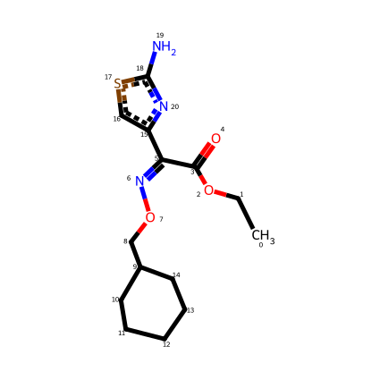 CCOC(=O)C(=NOCC1CCCCC1)c1csc(N)n1